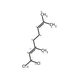 CC(C)=CCC/C(C)=C/C(Cl)Cl